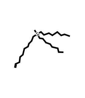 C=CCCCCCCCC[Si](C)(CCCCCCCC)CCCCCCCC